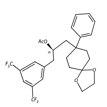 CC(=O)O[C@H](Cc1cc(C(F)(F)F)cc(C(F)(F)F)c1)CC1(c2ccccc2)CCC2(CC1)OCCO2